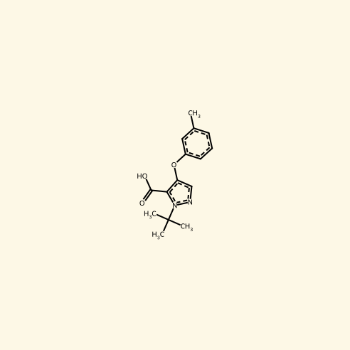 Cc1cccc(Oc2cnn(C(C)(C)C)c2C(=O)O)c1